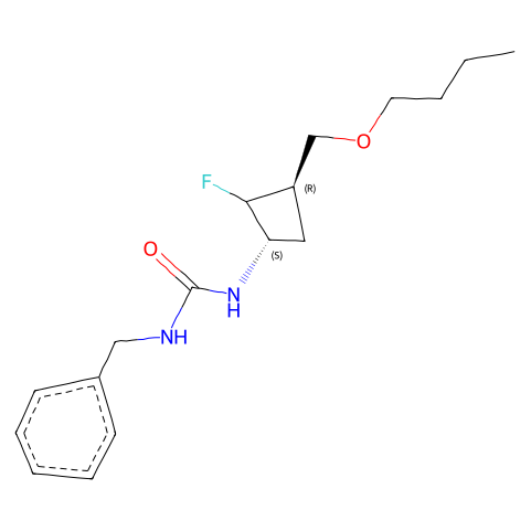 CCCCOC[C@H]1C[C@H](NC(=O)NCc2ccccc2)C1F